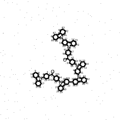 O=C(c1ccc(-n2c3ccccc3c3ccccc32)cc1)c1ccc(-n2c3ccccc3c3cc(-c4ccc5c6ccccc6n(-c6ccc7c(c6)c6ccccc6n7-c6ccc(C(=O)c7ccc(-n8c9ccccc9c9cc(-n%10c%11ccccc%11c%11ccccc%11%10)ccc98)cc7)cc6)c5c4)ccc32)cc1